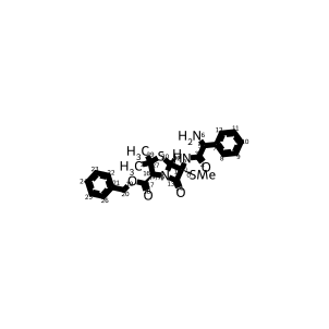 CS[C@]1(NC(=O)C(N)c2ccccc2)C(=O)N2[C@@H](C(=O)OCc3ccccc3)C(C)(C)S[C@@H]21